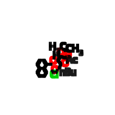 CCCC[C@H](OCl)[C@H]1O[C@]2(C(C)=O)OC(C)(C)O[C@@H]2[C@H]1OCc1cccc2ccccc12